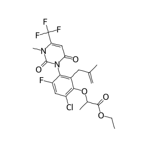 C=C(C)Cc1c(OC(C)C(=O)OCC)c(Cl)cc(F)c1-n1c(=O)cc(C(F)(F)F)n(C)c1=O